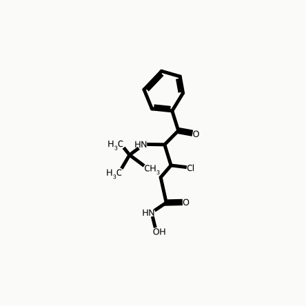 CC(C)(C)NC(C(=O)c1ccccc1)C(Cl)CC(=O)NO